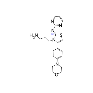 NCCCn1c(-c2ccc(N3CCOCC3)cc2)cs/c1=N\c1ncccn1